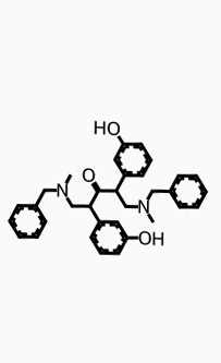 CN(Cc1ccccc1)CC(C(=O)C(CN(C)Cc1ccccc1)c1cccc(O)c1)c1cccc(O)c1